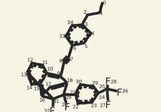 CCCc1ccc(C#CC2=c3ccc4cc3=C3C=C2C(F)(c2ccc(C(F)(F)F)cc2)C34F)cc1